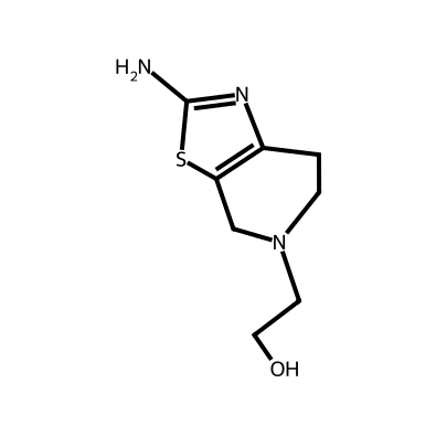 Nc1nc2c(s1)CN(CCO)CC2